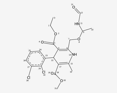 CCOC(=O)C1=C(COC(C)NC=O)NC(C)=C(C(=O)OC)C1c1cccc(Cl)c1Cl